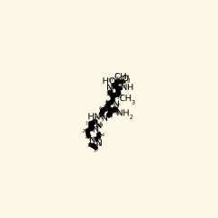 Cc1c(-c2cc3cc(Nc4cc5n(n4)Cc4nccn4CC5)ncc3c(N)n2)cnc2c1NC(=O)C2(C)O